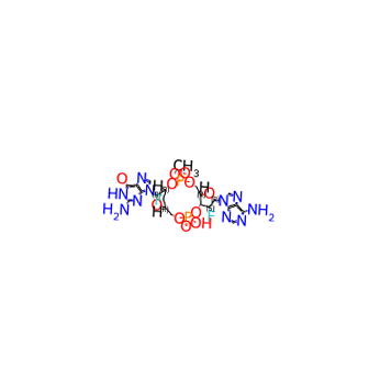 COP1(=O)OC[C@H]2O[C@@H](n3cnc4c(N)ncnc43)[C@@H](F)C2OP(=O)(O)OC[C@H]2O[C@@H](n3cnc4c(=O)[nH]c(N)nc43)[C@@H](O1)C2F